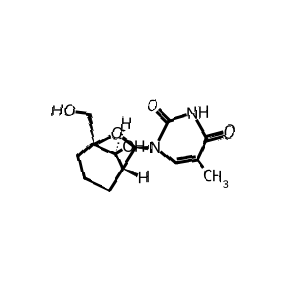 Cc1cn([C@@H]2O[C@@]3(CO)CCC[C@@H]2[C@@H]3O)c(=O)[nH]c1=O